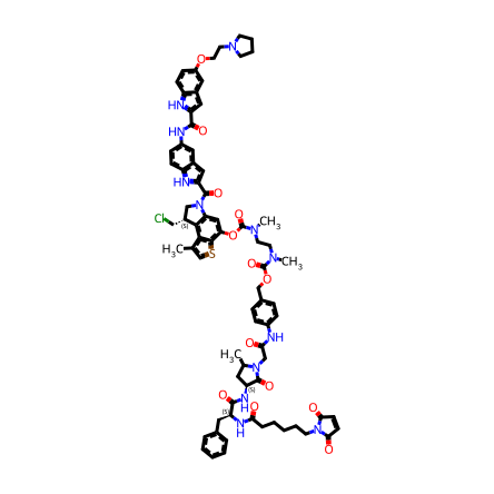 Cc1csc2c(OC(=O)N(C)CCN(C)C(=O)OCc3ccc(NC(=O)CN4C(=O)[C@@H](NC(=O)[C@H](Cc5ccccc5)NC(=O)CCCCCN5C(=O)C=CC5=O)CC4C)cc3)cc3c(c12)[C@H](CCl)CN3C(=O)c1cc2cc(NC(=O)c3cc4cc(OCCN5CCCC5)ccc4[nH]3)ccc2[nH]1